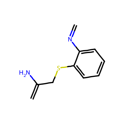 C=Nc1ccccc1SCC(=C)N